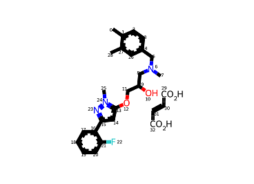 Cc1ccc(CN(C)CC(O)COc2cc(-c3ccccc3F)nn2C)cc1C.O=C(O)/C=C/C(=O)O